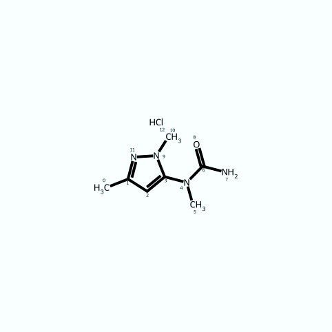 Cc1cc(N(C)C(N)=O)n(C)n1.Cl